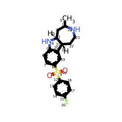 CC1C[C@@H]2Nc3ccc(S(=O)(=O)c4ccc(F)cc4)cc3[C@H]2CCN1